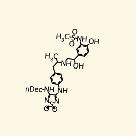 CCCCCCCCCCNC1=NS(=O)(=O)N=C1Nc1ccc(CC(C)NC[C@H](O)c2ccc(O)c(NS(C)(=O)=O)c2)cc1